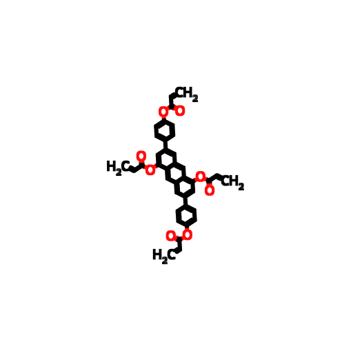 C=CC(=O)Oc1ccc(-c2cc(OC(=O)C=C)c3cc4cc(-c5ccc(OC(=O)C=C)cc5)cc(OC(=O)C=C)c4cc3c2)cc1